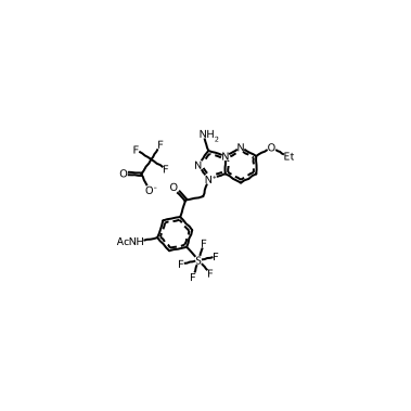 CCOc1ccc2n(n1)c(N)n[n+]2CC(=O)c1cc(NC(C)=O)cc(S(F)(F)(F)(F)F)c1.O=C([O-])C(F)(F)F